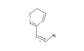 CC(=O)/C=C\C1=CCCC=C1